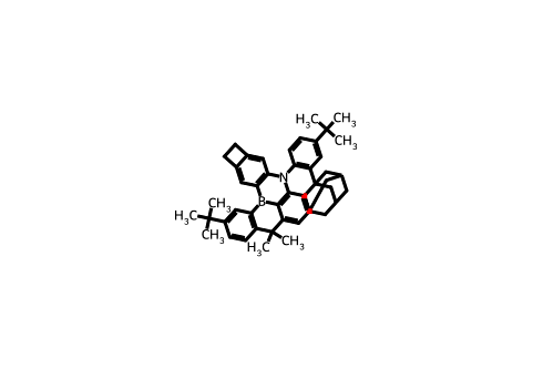 CC(C)(C)c1ccc2c(c1)B1c3cc4c(cc3N(c3ccc(C(C)(C)C)cc3C35CC6CC(CC(C6)C3)C5)c3cccc(c31)C2(C)C)CC4